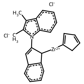 Cc1c(C)n(C2=Cc3ccccc3[CH]2[Zr+2][C]2=CC=CC2)c2ccccc12.[Cl-].[Cl-]